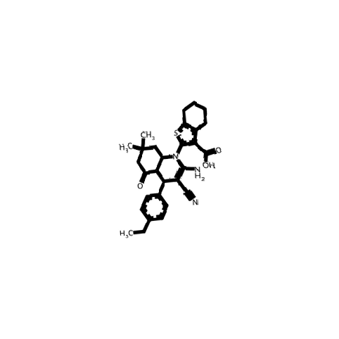 CCc1ccc(C2C(C#N)=C(N)N(c3sc4c(c3C(=O)O)CCCC4)C3CC(C)(C)CC(=O)C23)cc1